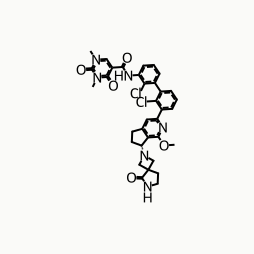 COc1nc(-c2cccc(-c3cccc(NC(=O)c4cn(C)c(=O)n(C)c4=O)c3Cl)c2Cl)cc2c1[C@H](N1CC3(CCNC3=O)C1)CC2